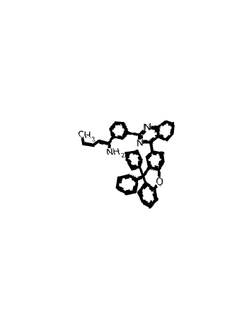 C/C=C\C=C(/N)c1cccc(-c2nc(-c3ccc4c(c3)C(c3ccccc3)(c3ccccc3)c3ccccc3O4)c3ccccc3n2)c1